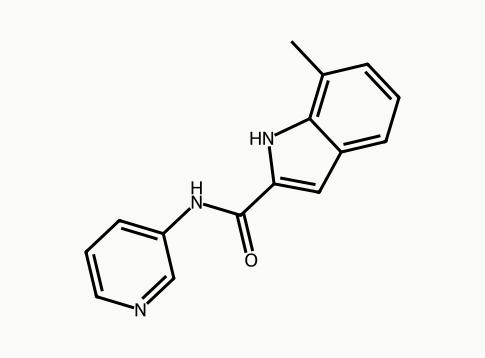 Cc1cccc2cc(C(=O)Nc3cccnc3)[nH]c12